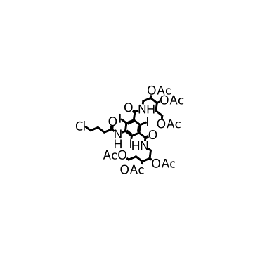 CC(=O)OCCC(OC(C)=O)C(CNC(=O)c1c(I)c(NC(=O)CCCCl)c(I)c(C(=O)NCC(OC(C)=O)C(CCOC(C)=O)OC(C)=O)c1I)OC(C)=O